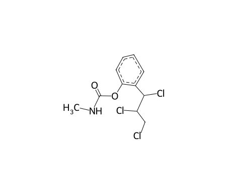 CNC(=O)Oc1ccccc1C(Cl)C(Cl)CCl